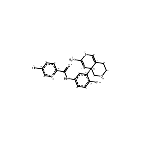 NC1=N[C@@]2(c3cc(NC(=O)c4ccc(Cl)cn4)ccc3F)COCCC2=CS1